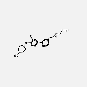 CC(C)(C)[C@H]1CC[C@H](Oc2ccc(-c3cccc(CNCCC(=O)O)c3)cc2F)CC1